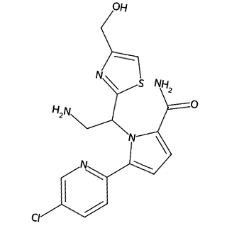 NCC(c1nc(CO)cs1)n1c(C(N)=O)ccc1-c1ccc(Cl)cn1